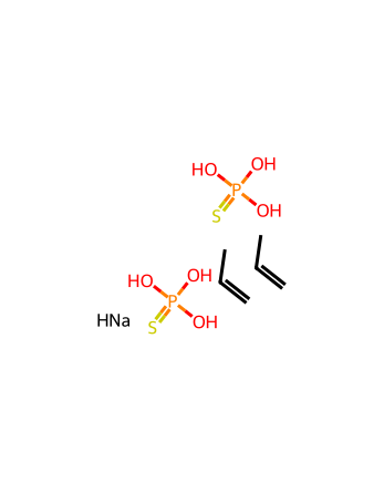 C=CC.C=CC.OP(O)(O)=S.OP(O)(O)=S.[NaH]